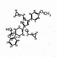 COc1ccc(-c2cc([C@]3(OCC4CC4)CC[C@@](C(=O)O)(c4ccccc4)CC3)nn2CC2CC2)cc1